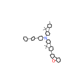 Cc1ccc2c(c1)C(C)(C)c1cc(N(c3ccc(-c4ccc(-c5ccccc5)cc4)cc3)c3ccc4c(c3)C(C)(C)c3cc(-c5ccc6oc7ccccc7c6c5)ccc3-4)ccc1-2